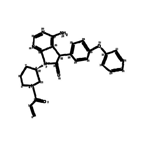 C=CC(=O)N1CCC[C@H](N2C(=O)C(c3ccc(Oc4ccccc4)cc3)c3c(N)ncnc32)C1